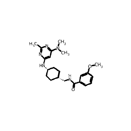 COc1cccc(C(=O)NC[C@H]2CC[C@@H](Nc3cc(N(C)C)nc(C)n3)CC2)c1